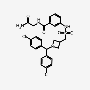 NC(=O)CNC(=O)c1cccc(NS(=O)(=O)CC2CN(C(c3ccc(Cl)cc3)c3ccc(Cl)cc3)C2)c1